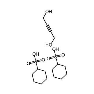 O=S(=O)(O)C1CCCCC1.O=S(=O)(O)C1CCCCC1.OCC#CCO